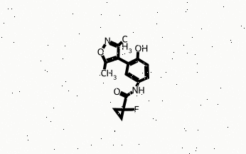 Cc1noc(C)c1-c1cc(NC(=O)C2(F)CC2)ccc1O